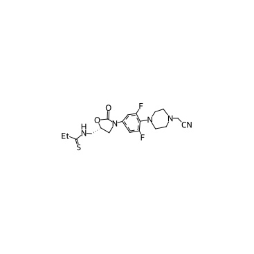 CCC(=S)NC[C@H]1CN(c2cc(F)c(N3CCN(CC#N)CC3)c(F)c2)C(=O)O1